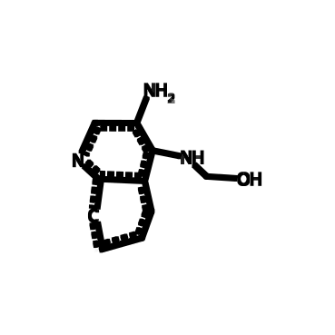 Nc1cnc2ccccc2c1NCO